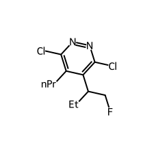 CCCc1c(Cl)nnc(Cl)c1C(CC)CF